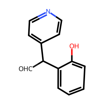 O=CC(c1ccncc1)c1ccccc1O